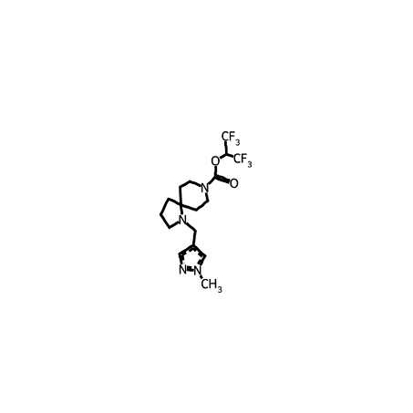 Cn1cc(CN2CCCC23CCN(C(=O)OC(C(F)(F)F)C(F)(F)F)CC3)cn1